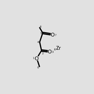 COC(=O)CC(C)=O.[Zr]